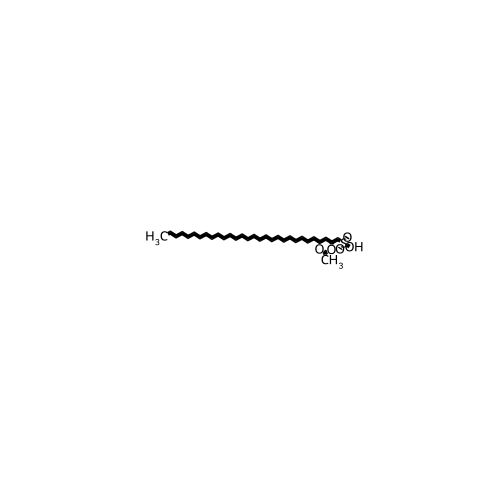 CCCCCCCCCCCCCCCCCCCCCCCCCCCCC(CS(=O)(=O)O)OC(C)=O